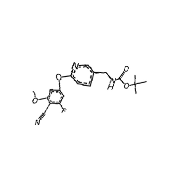 COc1cc(Oc2ccc(CNC(=O)OC(C)(C)C)cn2)cc(F)c1C#N